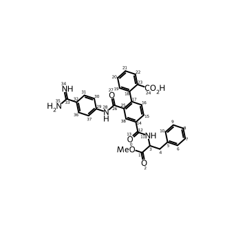 COC(=O)C(Cc1ccccc1)NC(=O)c1ccc(-c2ccccc2C(=O)O)c(C(=O)Nc2ccc(C(=N)N)cc2)c1